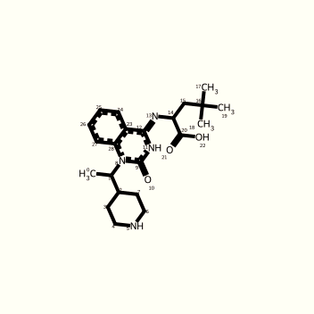 CC(C1CCNCC1)n1c(=O)[nH]c(=NC(CC(C)(C)C)C(=O)O)c2ccccc21